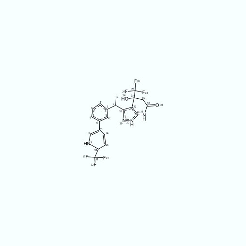 CC(c1cccc(C2=CNC(C(F)(F)F)C=C2)c1)c1n[nH]c2c1C(O)(C(F)(F)F)CC(=O)N2